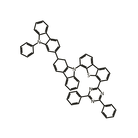 C1=CC(c2ccc3c4ccccc4n(-c4ccccc4)c3c2)Cc2c1c1ccccc1n2-c1cccc2c1sc1c(-c3nc(-c4ccccc4)nc(-c4ccccc4)n3)cccc12